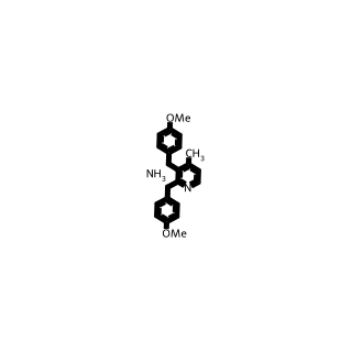 COc1ccc(Cc2nccc(C)c2Cc2ccc(OC)cc2)cc1.N